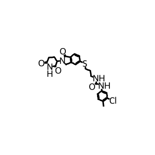 Cc1ccc(NC(=O)NCCCSc2ccc3c(c2)CN(C2CCC(=O)NC2=O)C3=O)cc1Cl